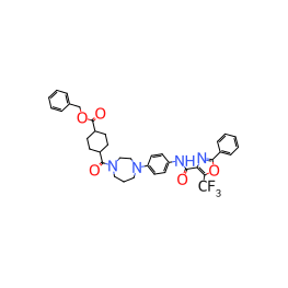 O=C(Nc1ccc(N2CCCN(C(=O)C3CCC(C(=O)OCc4ccccc4)CC3)CC2)cc1)c1nc(-c2ccccc2)oc1C(F)(F)F